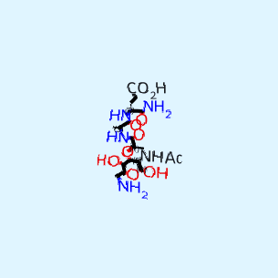 CC(=O)N[C@H]1C(O[C@H](C)C(=O)N[C@@H](C)C(=O)N[C@H](CCC(=O)O)C(N)=O)C(O)C(CN)O[C@H]1O